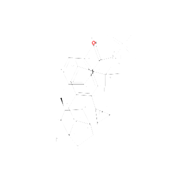 CS(=O)(=O)NC(=O)c1cc(C2CC2)c(CN2[C@@H]3CC[C@H]2C[C@@H](Oc2cc(C(F)(F)F)c(Cl)cn2)C3)cc1F